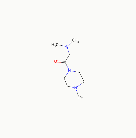 CC(C)N1CCN(C(=O)CN(C)C)CC1